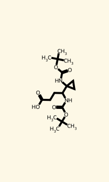 CC(C)(C)OC(=O)NC(CCC(=O)O)C1(NC(=O)OC(C)(C)C)CC1